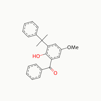 COc1cc(C(=O)c2ccccc2)c(O)c(C(C)(C)c2ccccc2)c1